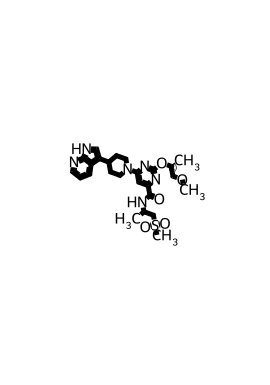 COC[C@@H](C)Oc1nc(C(=O)NC(C)CS(C)(=O)=O)cc(N2CCC(c3c[nH]c4ncccc34)CC2)n1